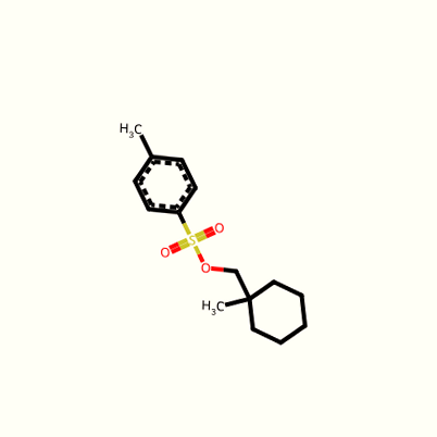 Cc1ccc(S(=O)(=O)OCC2(C)CCCCC2)cc1